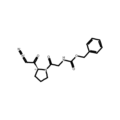 [N-]=[N+]=CC(=O)[C@@H]1CCCN1C(=O)CNC(=O)OCc1ccccc1